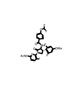 COc1cc(F)c([C@@H]2CN(c3nc(NC(C)=O)ccc3F)C(=O)C2NC(=O)c2ccc(OC(F)F)cc2)c(F)c1